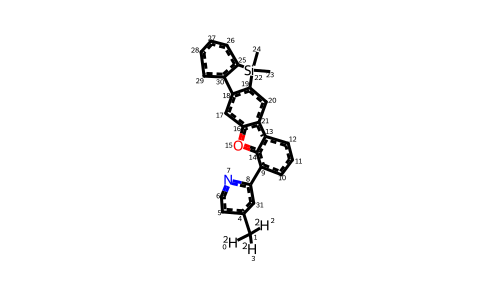 [2H]C([2H])([2H])c1ccnc(-c2cccc3c2oc2cc4c(cc23)[Si](C)(C)c2ccccc2-4)c1